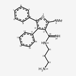 CNc1oc(-c2ccccc2)c(-c2ccccc2)c1C(=N)NCCCN